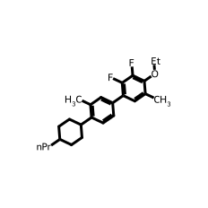 CCCC1CCC(c2ccc(-c3cc(C)c(OCC)c(F)c3F)cc2C)CC1